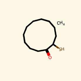 C.O=C1CCCCCCCCCCC1S